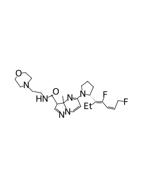 CC/C(=C(F)\C=C/CF)[C@H]1CCCN1C1=NC2(C)C(C(=O)NCCN3CCOCC3)C=NN2C=C1